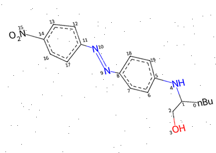 CCCCC(CO)Nc1ccc(/N=N/c2ccc([N+](=O)[O-])cc2)cc1